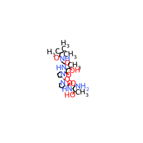 CC(C)C(C)C(=O)NCC(=O)N[C@H](C(=O)N1CCC[C@H]1C(=O)N1CCC[C@H]1C(=O)N[C@H](C(N)=O)[C@@H](C)O)[C@@H](C)O